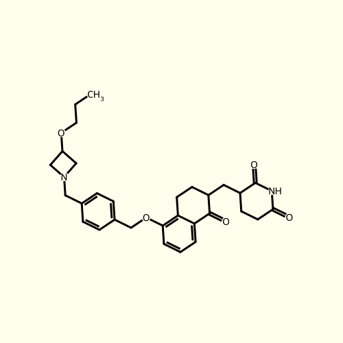 CCCOC1CN(Cc2ccc(COc3cccc4c3CCC(CC3CCC(=O)NC3=O)C4=O)cc2)C1